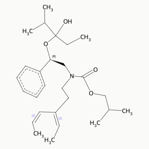 C/C=C\C(=C/C)CCN(C[C@H](OC(O)(CC)C(C)C)c1ccccc1)C(=O)OCC(C)C